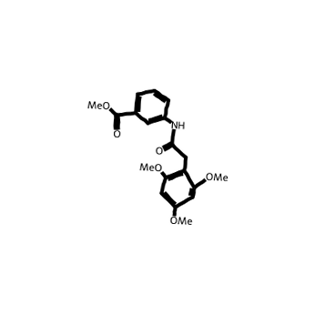 COC(=O)c1cccc(NC(=O)Cc2c(OC)cc(OC)cc2OC)c1